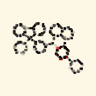 c1ccc(-c2cccc(-c3cccc4cccc(N(c5ccccc5)c5ccc6c(c5)C5(c7ccccc7-c7ccccc75)c5ccccc5-6)c34)c2)cc1